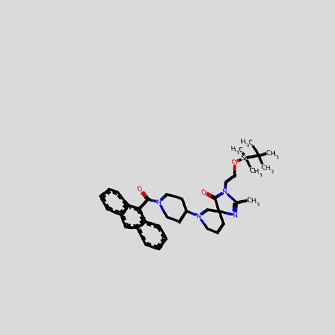 CC1=NC2(CCCN(C3CCN(C(=O)c4c5ccccc5cc5ccccc45)CC3)C2)C(=O)N1CCO[Si](C)(C)C(C)(C)C